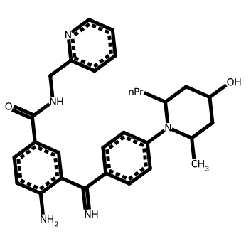 CCCC1CC(O)CC(C)N1c1ccc(C(=N)c2cc(C(=O)NCc3ccccn3)ccc2N)cc1